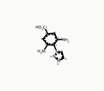 Nc1cc(C(=O)O)cc(N)c1-n1ccnn1